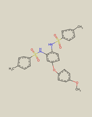 COc1ccc(Oc2ccc(NS(=O)(=O)c3ccc(C)cc3)c(NS(=O)(=O)c3ccc(C)cc3)c2)cc1